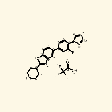 Fc1cc(-c2ccc3oc(C4CCNCC4)nc3c2)ccc1-n1cnnn1.O=C(O)C(F)(F)F